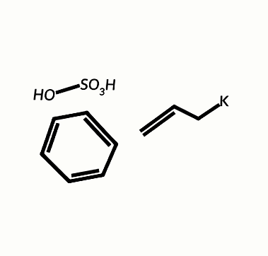 C=C[CH2][K].O=S(=O)(O)O.c1ccccc1